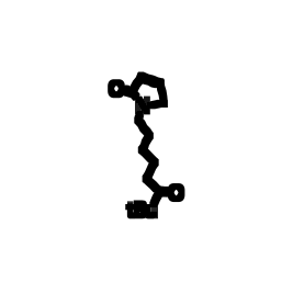 CC(C)(C)C(=O)CCCCCN1CC=CC1=O